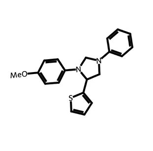 COc1ccc(N2CN(c3ccccc3)CC2c2cccs2)cc1